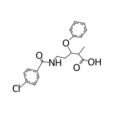 CC(C(=O)O)C(CCNC(=O)c1ccc(Cl)cc1)Oc1ccccc1